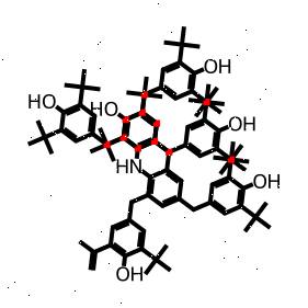 C=C(C)c1cc(Cc2cc(Cc3cc(C(C)(C)C)c(O)c(C(C)(C)C)c3)cc(Cc3cc(C(C)(C)C)c(O)c(C(C)(C)C)c3)c2Nc2c(Cc3cc(C(C)(C)C)c(O)c(C(C)(C)C)c3)cc(Cc3cc(C(C)(C)C)c(O)c(C(C)(C)C)c3)cc2Cc2cc(C(C)(C)C)c(O)c(C(C)(C)C)c2)cc(C(C)(C)C)c1O